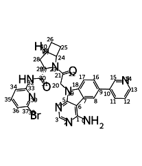 Nc1ncnc2c1c1cc(-c3cccnc3)ccc1n2CC(=O)N1C2CC[C@@H]2C[C@H]1C(=O)Nc1cccc(Br)n1